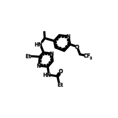 CCC(=O)Nc1cnc(NC(C)c2ccc(OCC(F)(F)F)nc2)c(CC)n1